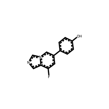 Oc1ccc(-c2cc(F)c3cncn3c2)cc1